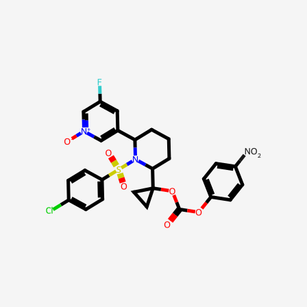 O=C(Oc1ccc([N+](=O)[O-])cc1)OC1(C2CCCC(c3cc(F)c[n+]([O-])c3)N2S(=O)(=O)c2ccc(Cl)cc2)CC1